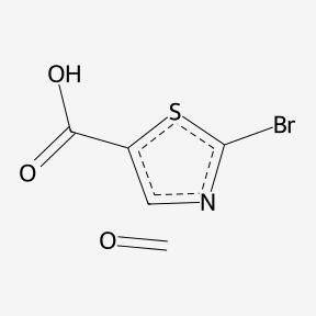 C=O.O=C(O)c1cnc(Br)s1